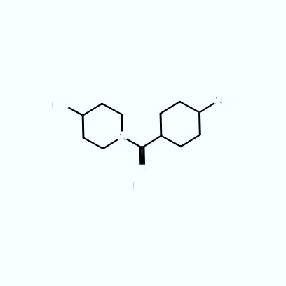 Cl.NC1CCC(C(=O)N2CCC(O)CC2)CC1